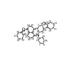 c1ccc(N(c2ccc3oc4ccccc4c3c2)c2ccc3c4c(cccc24)Oc2ccccc2-3)cc1